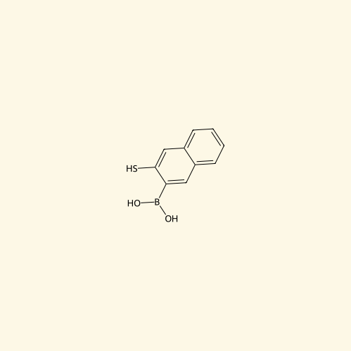 OB(O)c1cc2ccccc2cc1S